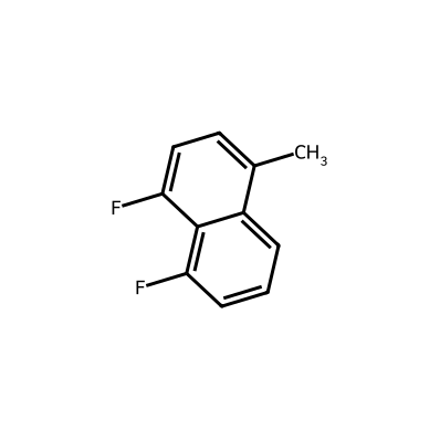 Cc1ccc(F)c2c(F)cccc12